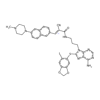 CN1CCN(c2ccc3cc(/C=C(\C#N)C(=O)NCCCn4c(Sc5cc6c(cc5I)OCO6)nc5c(N)ncnc54)ccc3c2)CC1